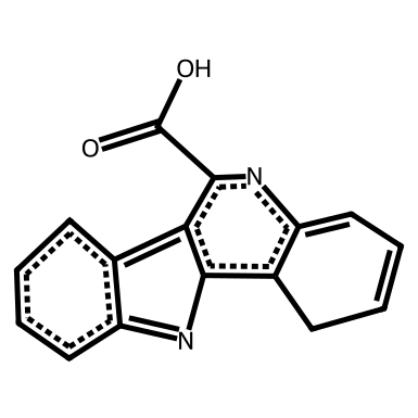 O=C(O)c1nc2c(c3c1=c1ccccc1=N3)CC=CC=2